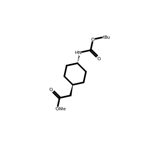 COC(=O)C[C@H]1CC[C@H](NC(=O)OC(C)(C)C)CC1